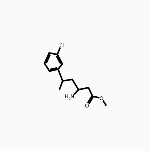 COC(=O)CC(N)CC(C)c1cccc(Cl)c1